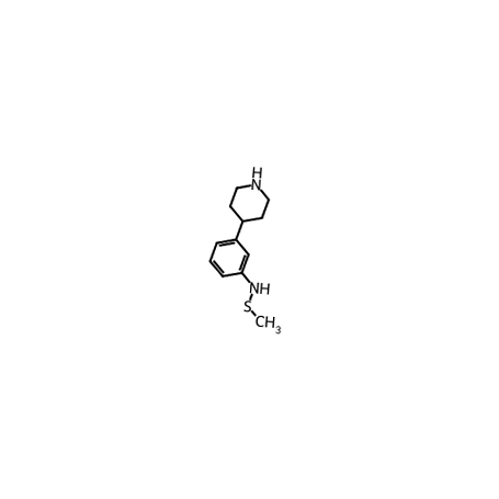 CSNc1cccc(C2CCNCC2)c1